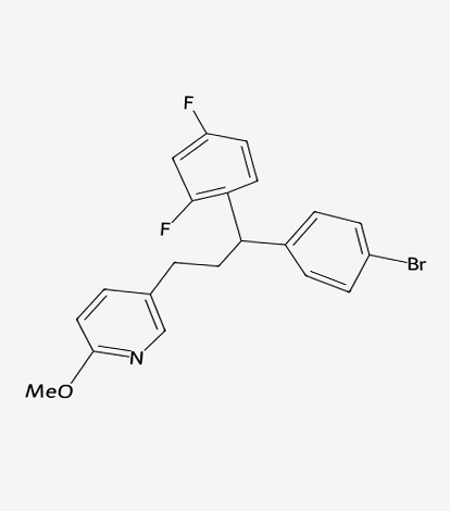 COc1ccc(CCC(c2ccc(Br)cc2)c2ccc(F)cc2F)cn1